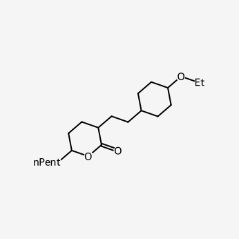 CCCCCC1CCC(CCC2CCC(OCC)CC2)C(=O)O1